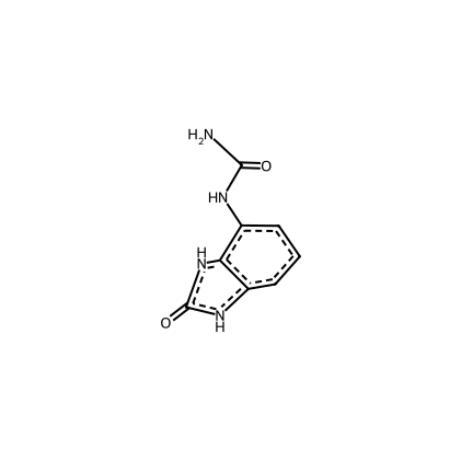 NC(=O)Nc1cccc2[nH]c(=O)[nH]c12